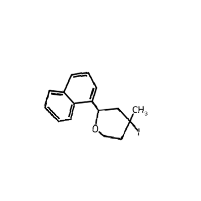 CC1(I)CCOC(c2cccc3ccccc23)C1